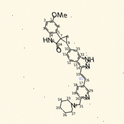 COc1ccc2c(c1)C1(CC1c1ccc3c(/C=C/c4ccc(CN5CCCCC5)nc4)n[nH]c3c1)C(=O)N2